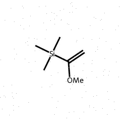 C=C(OC)[Si](C)(C)C